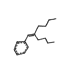 CCCCC(=Cc1ccccc1)CCCC